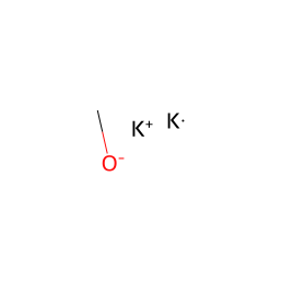 C[O-].[K+].[K]